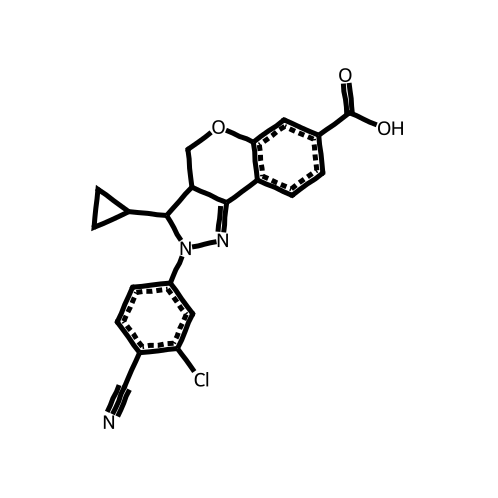 N#Cc1ccc(N2N=C3c4ccc(C(=O)O)cc4OCC3C2C2CC2)cc1Cl